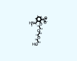 CNCc1cccc([N+](=O)[O-])c1OCCOCCOCCO